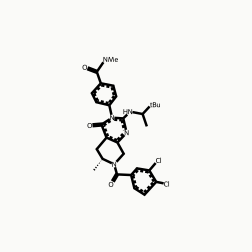 CNC(=O)c1ccc(-n2c(NC(C)C(C)(C)C)nc3c(c2=O)C[C@@H](C)N(C(=O)c2ccc(Cl)c(Cl)c2)C3)cc1